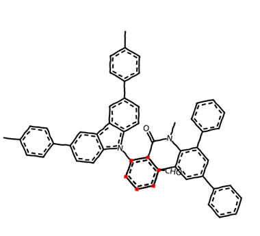 Cc1ccc(-c2ccc3c(c2)c2cc(-c4ccc(C)cc4)ccc2n3-c2cccc(C=O)c2C(=O)N(C)c2c(-c3ccccc3)cc(-c3ccccc3)cc2-c2ccccc2)cc1